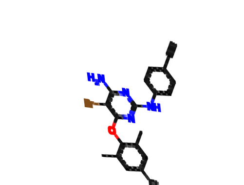 C#Cc1ccc(Nc2nc(N)c(Br)c(Oc3c(C)cc(CC)cc3C)n2)cc1